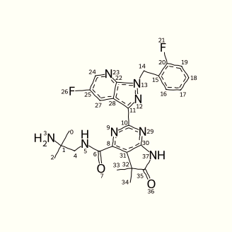 CC(C)(N)CNC(=O)c1nc(-c2nn(Cc3ccccc3F)c3ncc(F)cc23)nc2c1C(C)(C)C(=O)N2